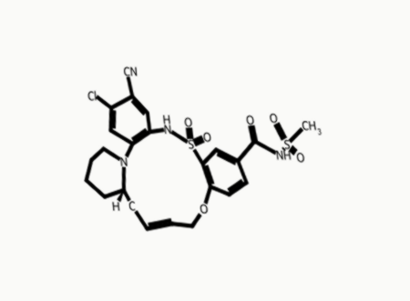 CS(=O)(=O)NC(=O)c1ccc2c(c1)S(=O)(=O)Nc1cc(C#N)c(Cl)cc1N1CCCC[C@H]1C/C=C/CO2